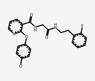 O=C(CNC(=O)c1cccnc1Oc1ccc(Cl)cc1)NCCc1ccccc1F